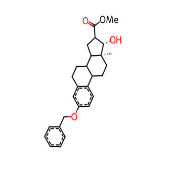 COC(=O)C1CC2C3CCc4cc(OCc5ccccc5)ccc4C3CC[C@]2(C)[C@H]1O